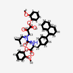 COc1ccccc1OC(=O)C(=O)CN(CC(C)C)C(=O)N[C@@H](Cc1ccc(-c2cccc3ccccc23)cc1)C(=O)Oc1ccccc1OC